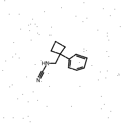 N#CNCC1(c2ccccc2)CCC1